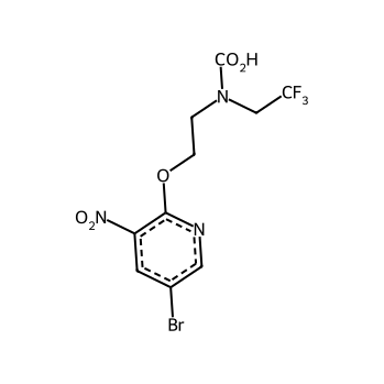 O=C(O)N(CCOc1ncc(Br)cc1[N+](=O)[O-])CC(F)(F)F